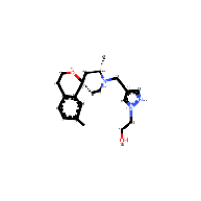 Cc1ccc2c(c1)[C@@]1(CCN(Cc3cnn(CCO)c3)[C@@H](C)C1)OCC2